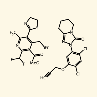 C#CCOc1cc(-n2nc3n(c2=O)CCCC3)c(Cl)cc1Cl.COC(=O)c1c(C(F)F)nc(C(F)(F)F)c(C2=NCCS2)c1CC(C)C